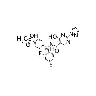 CP(=O)(O)c1ccc([C@@H](NC(=O)c2cnc(-n3cccn3)nc2O)c2ccc(F)cc2F)cc1